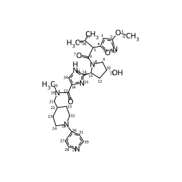 COc1cc(C(C(=O)N2C[C@H](O)C[C@H]2c2nc(C(=O)N(C)CC3CCN(c4ccncc4)CC3)c[nH]2)C(C)C)on1